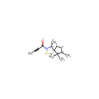 CCC#CC(=O)N1SC[C@@]2(CCC(C)C2(C)C)[C@@H]1C